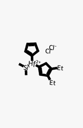 CCC1=C(CC)C[C]([Hf+2]([C]2=CC=CC2)=[Si](C)C)=C1.[Cl-].[Cl-]